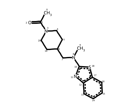 CC(=O)N1CCC(CN(C)c2nc3ccccc3s2)CC1